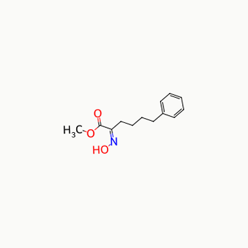 COC(=O)C(CCCCc1ccccc1)=NO